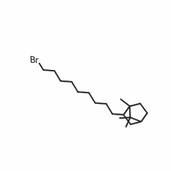 CC1(C)C2CCC1(C)C(CCCCCCCCCBr)C2